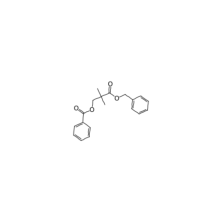 CC(C)(COC(=O)c1ccccc1)C(=O)OCc1ccccc1